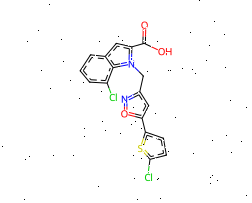 O=C(O)c1cc2cccc(Cl)c2n1Cc1cc(-c2ccc(Cl)s2)on1